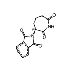 O=C1CCC[C@H](N2C(=O)c3ccccc3C2=O)C(=O)N1